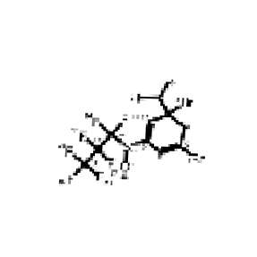 CC(I)C1(Br)[CH]C(Br)=CC([S+]([O-])C(F)(F)C(F)(F)C(F)(F)F)=C1